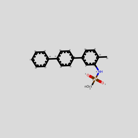 CCCCCCCCS(=O)(=O)Nc1cc(-c2ccc(-c3ccccc3)cc2)ccc1C